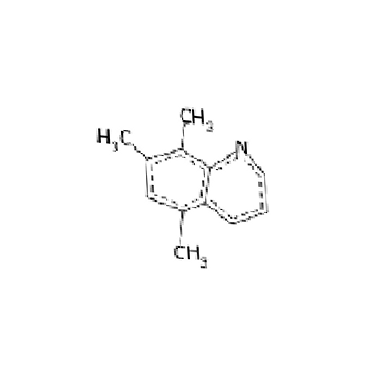 Cc1cc(C)c2cccnc2c1C